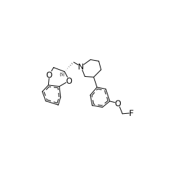 FCOc1cccc(C2CCCN(C[C@H]3COc4ccccc4O3)C2)c1